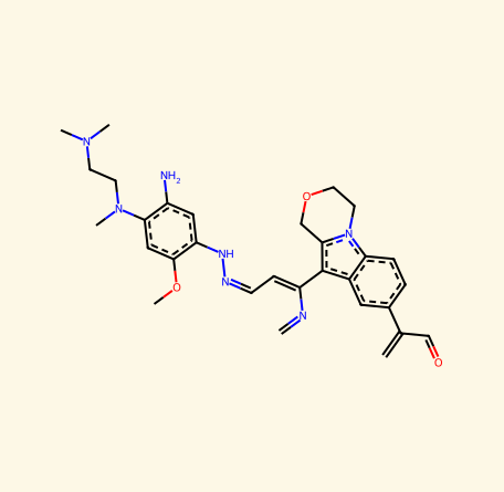 C=N/C(=C\C=N/Nc1cc(N)c(N(C)CCN(C)C)cc1OC)c1c2n(c3ccc(C(=C)C=O)cc13)CCOC2